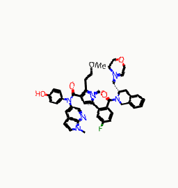 COCCc1c(C(=O)N(c2ccc(O)cc2)c2cnc3c(ccn3C)c2)cc(-c2cc(F)ccc2C(=O)N2Cc3ccccc3C[C@H]2CN2CCOCC2)n1C